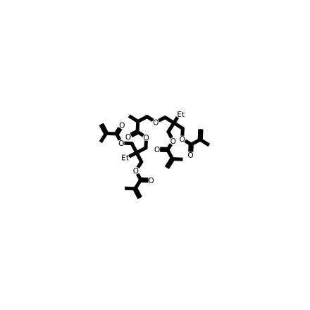 C=C(C)C(=O)OCC(CC)(COCC(C)C(=O)OCC(CC)(COC(=O)C(=C)C)COC(=O)C(=C)C)COC(=O)C(=C)C